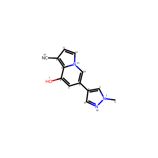 Cn1cc(-c2cc(O)c3c(C#N)ccn3c2)cn1